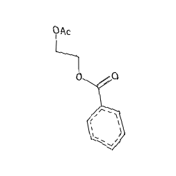 CC(=O)OCCOC(=O)c1ccccc1